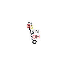 CCOC(=S)C=CCC(CC#N)CC(O)Cc1ccccc1